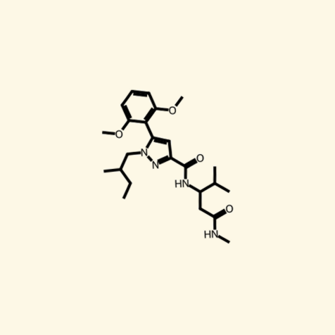 CCC(C)Cn1nc(C(=O)NC(CC(=O)NC)C(C)C)cc1-c1c(OC)cccc1OC